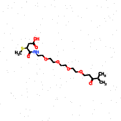 CSC(CC(=O)O)C(=O)NCCOCCOCCOCCOCCC(=O)C(C)C